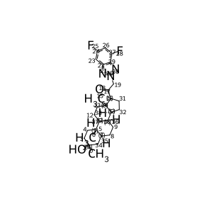 C[C@@]1(O)CC[C@@]2(C)[C@@H](CC[C@@H]3[C@@H]2CC[C@]2(C)[C@@H](C(=O)Cn4nc5cc(F)cc(F)c5n4)CC[C@@H]32)C1